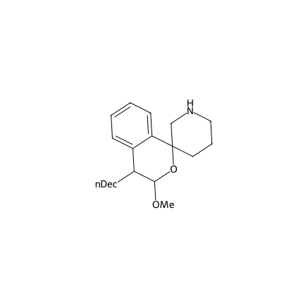 CCCCCCCCCCC1c2ccccc2C2(CCCNC2)OC1OC